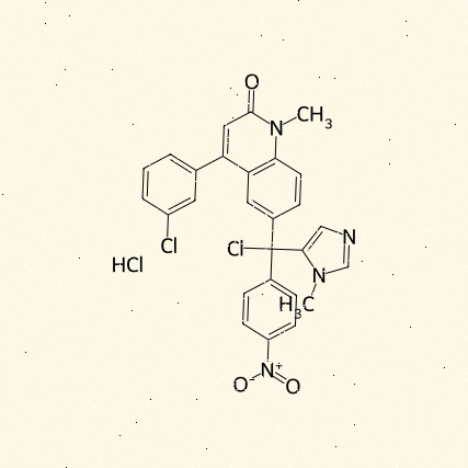 Cl.Cn1cncc1C(Cl)(c1ccc([N+](=O)[O-])cc1)c1ccc2c(c1)c(-c1cccc(Cl)c1)cc(=O)n2C